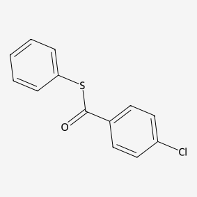 O=C(Sc1ccccc1)c1ccc(Cl)cc1